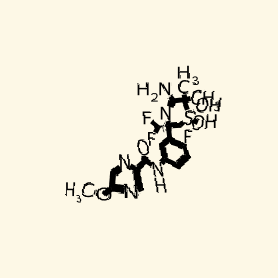 COc1cnc(C(=O)Nc2ccc(F)c([C@]3(C(F)F)CS(O)(O)C(C)(C)C(N)=N3)c2)cn1